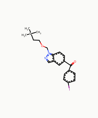 C[Si](C)(C)CCOCn1ncc2cc(C(=O)c3ccc(I)cc3)ccc21